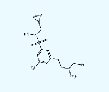 CC(C)CC(CCc1cc(C(F)(F)F)cc(S(=O)(=O)N(C)CC2CO2)c1)C(=O)O